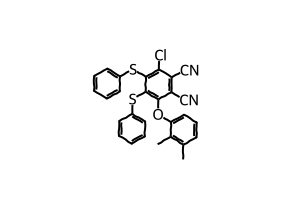 Cc1cccc(Oc2c(C#N)c(C#N)c(Cl)c(Sc3ccccc3)c2Sc2ccccc2)c1C